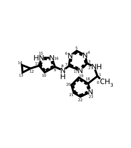 CC(Nc1ncnc(Nc2cc(C3CC3)[nH]n2)n1)c1ccccn1